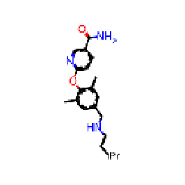 Cc1cc(CNCCC(C)C)cc(C)c1Oc1ccc(C(N)=O)cn1